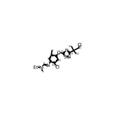 CCN(C)C=Nc1cc(C)c(Oc2nc(C(C)(C)CCl)ns2)cc1Cl